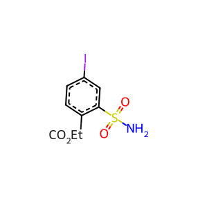 CCOC(=O)c1ccc(I)cc1S(N)(=O)=O